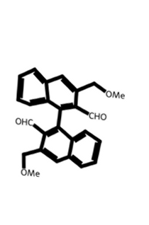 COCc1cc2ccccc2c(-c2c(C=O)c(COC)cc3ccccc23)c1C=O